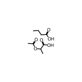 CC(=O)OC(C)C(=O)O.CCCC(=O)O